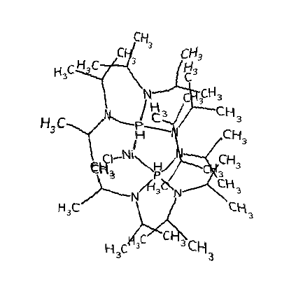 CC(C)N(C(C)C)[PH](N(C(C)C)C(C)C)(N(C(C)C)C(C)C)[Ni]([Cl])[PH](N(C(C)C)C(C)C)(N(C(C)C)C(C)C)N(C(C)C)C(C)C